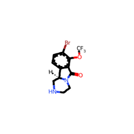 O=C1c2c(ccc(Br)c2OC(F)(F)F)[C@@H]2CNCCN12